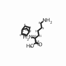 C1=CC2CCC1C2.NCCCCC(N)C(=O)O